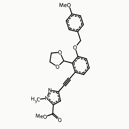 COC(=O)c1cc(C#Cc2cccc(OCc3ccc(OC)cc3)c2C2OCCO2)nn1C